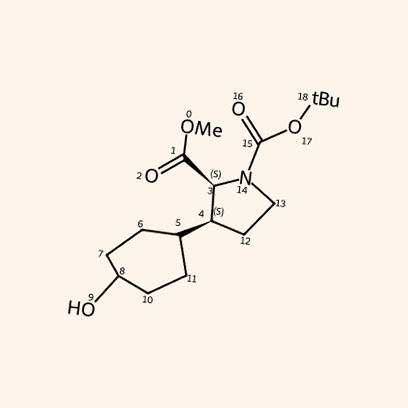 COC(=O)[C@@H]1[C@H](C2CCC(O)CC2)CCN1C(=O)OC(C)(C)C